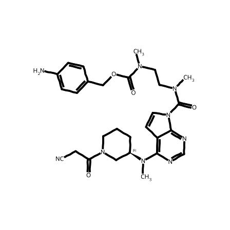 CN(CCN(C)C(=O)n1ccc2c(N(C)[C@@H]3CCCN(C(=O)CC#N)C3)ncnc21)C(=O)OCc1ccc(N)cc1